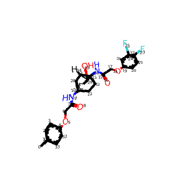 Cc1ccc(OCC(=O)NC23CCC(NC(=O)COc4ccc(F)c(F)c4)(CC2)[C@@H](O)C3)cc1